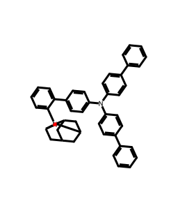 c1ccc(-c2ccc(N(c3ccc(-c4ccccc4)cc3)c3ccc(-c4ccccc4N4C5CC6CC(C5)CC4C6)cc3)cc2)cc1